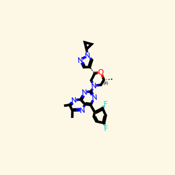 Cc1nc2nc(N3C[C@@H](C)O[C@@H](c4cnn(C5CC5)c4)C3)nc(-c3ccc(F)cc3F)c2nc1C